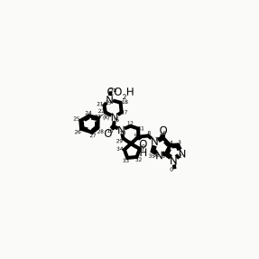 Cn1ncc2c(=O)n(CC3(O)CCN(C(=O)N4CCN(C(=O)O)C[C@H]4c4ccccc4)CC34CCCC4)cnc21